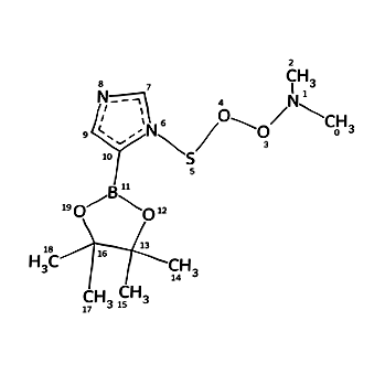 CN(C)OOSn1cncc1B1OC(C)(C)C(C)(C)O1